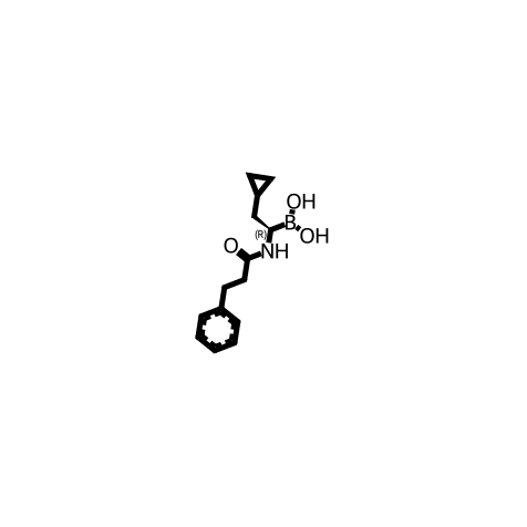 O=C(CCc1ccccc1)N[C@@H](CC1CC1)B(O)O